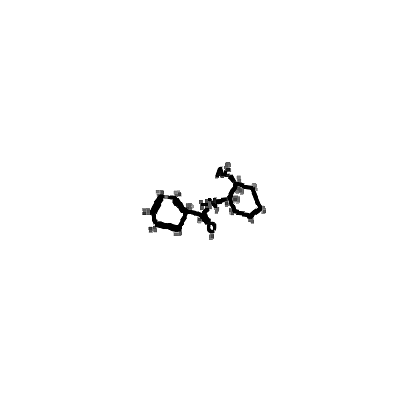 CC(=O)[C@H]1CCCC[C@H]1NC(=O)c1ccccc1